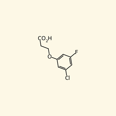 O=C(O)CCOc1cc(F)cc(Cl)c1